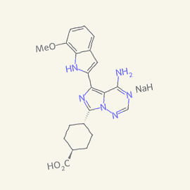 COc1cccc2cc(-c3nc([C@H]4CC[C@H](C(=O)O)CC4)n4ncnc(N)c34)[nH]c12.[NaH]